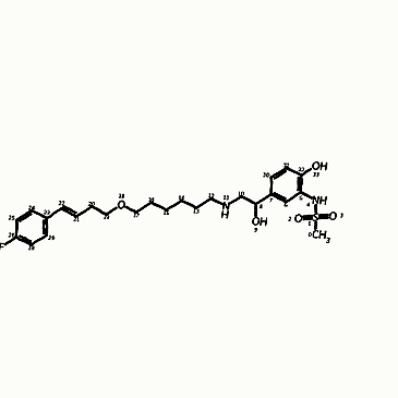 CS(=O)(=O)Nc1cc(C(O)CNCCCCCCOCCC=Cc2ccc(F)cc2)ccc1O